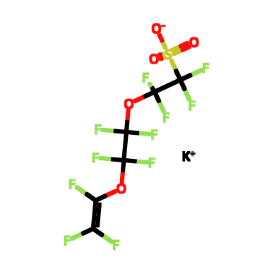 O=S(=O)([O-])C(F)(F)C(F)(F)OC(F)(F)C(F)(F)OC(F)=C(F)F.[K+]